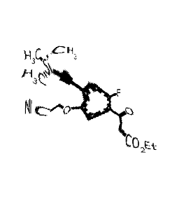 CCOC(=O)CC(=O)c1cc(OCC#N)c(C#C[Si](C)(C)C)cc1F